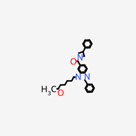 CC(=O)CCCC/C=N/c1cc(C(=O)N2CC(c3ccccc3)C2)ccc1/N=C/c1ccccc1